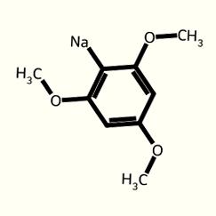 COc1cc(OC)[c]([Na])c(OC)c1